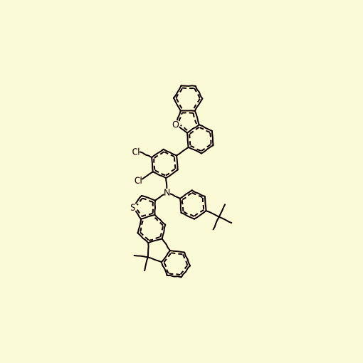 CC(C)(C)c1ccc(N(c2cc(-c3cccc4c3oc3ccccc34)cc(Cl)c2Cl)c2csc3cc4c(cc23)-c2ccccc2C4(C)C)cc1